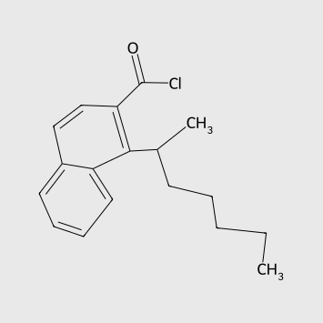 CCCCCC(C)c1c(C(=O)Cl)ccc2ccccc12